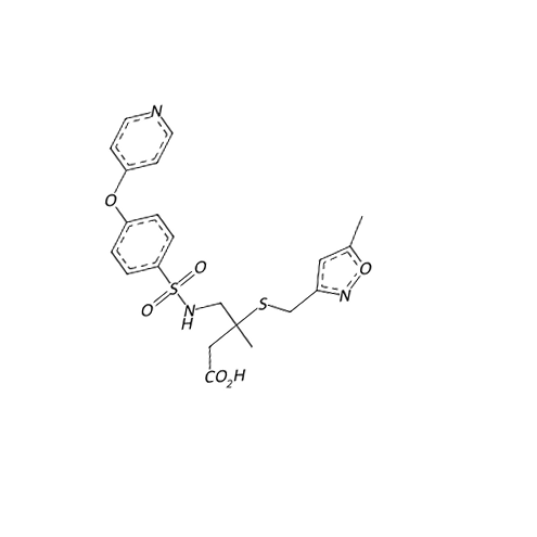 Cc1cc(CSC(C)(CNS(=O)(=O)c2ccc(Oc3ccncc3)cc2)CC(=O)O)no1